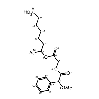 COC(C(=O)OCC(=O)OC(CCCCCC(=O)O)C(C)=O)c1ccccc1